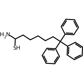 NC(S)CCCCCC(c1ccccc1)(c1ccccc1)c1ccccc1